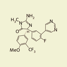 COc1ccc([C@@]2(c3ccc(F)c(-c4cncnc4)c3)N=C(N)N(C)C2=O)cc1C(F)(F)F